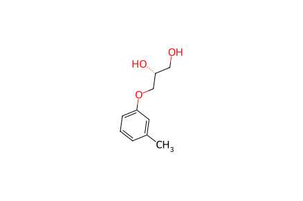 Cc1cccc(OC[C@H](O)CO)c1